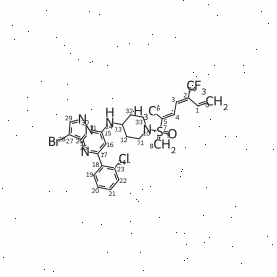 C=C/C(=C\C=C(/C)S(=C)(=O)N1CCC(Nc2cc(-c3ccccc3Cl)nc3c(Br)cnn23)CC1)C(F)(F)F